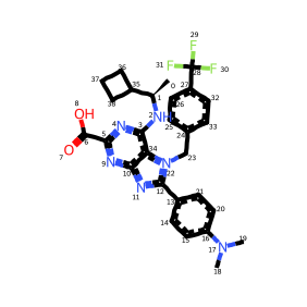 C[C@@H](Nc1nc(C(=O)O)nc2nc(-c3ccc(N(C)C)cc3)n(Cc3ccc(C(F)(F)F)cc3)c12)C1CCC1